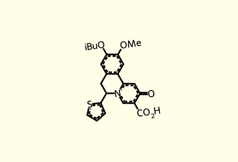 COc1cc2c(cc1OCC(C)C)CC(c1cccs1)n1cc(C(=O)O)c(=O)cc1-2